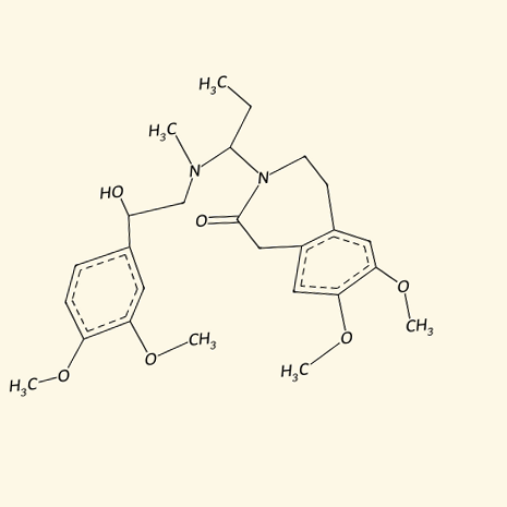 CCC(N(C)CC(O)c1ccc(OC)c(OC)c1)N1CCc2cc(OC)c(OC)cc2CC1=O